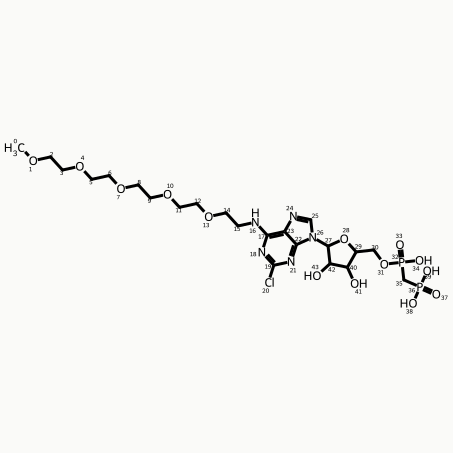 COCCOCCOCCOCCOCCNc1nc(Cl)nc2c1ncn2C1OC(COP(=O)(O)CP(=O)(O)O)C(O)C1O